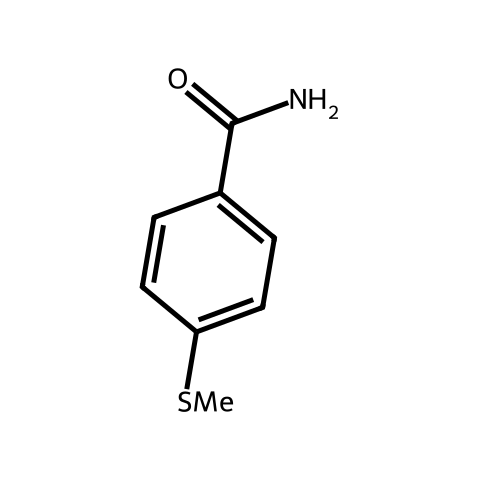 CSc1ccc(C(N)=O)cc1